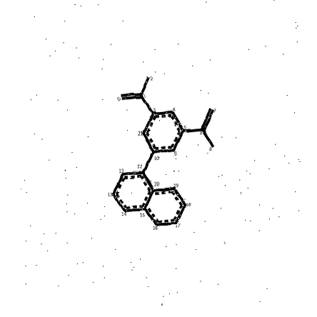 C=C(C)c1cc(C(=C)C)cc(-c2cccc3ccccc23)c1